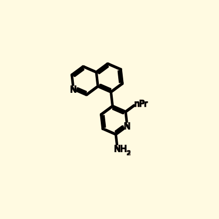 CCCc1nc(N)ccc1-c1cccc2ccncc12